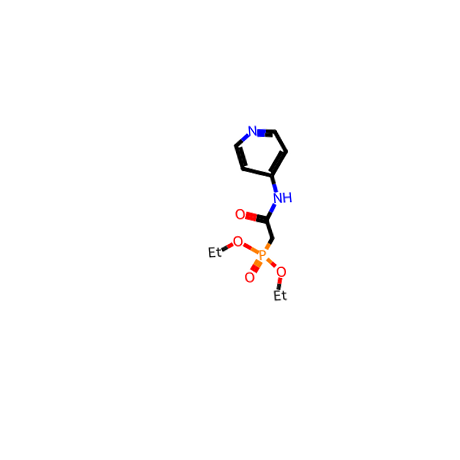 CCOP(=O)(CC(=O)Nc1ccncc1)OCC